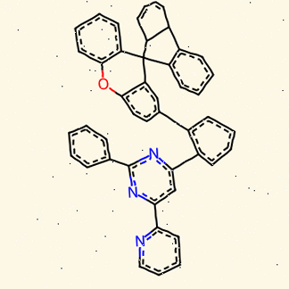 C1=CC2c3ccccc3C3(c4ccccc4Oc4ccc(-c5ccccc5-c5cc(-c6ccccn6)nc(-c6ccccc6)n5)cc43)C2C=C1